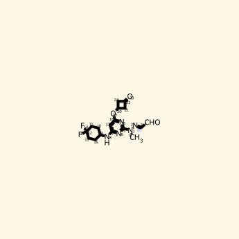 CN(/N=C/C=O)c1nc(NC2CCC(F)(F)CC2)cc(OC2CC(=O)C2)n1